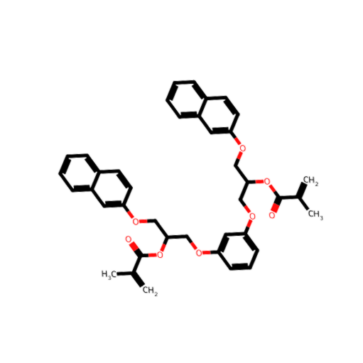 C=C(C)C(=O)OC(COc1cccc(OCC(COc2ccc3ccccc3c2)OC(=O)C(=C)C)c1)COc1ccc2ccccc2c1